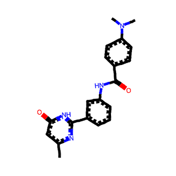 Cc1cc(=O)[nH]c(-c2cccc(NC(=O)c3ccc(N(C)C)cc3)c2)n1